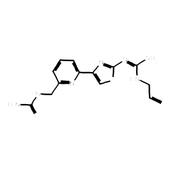 C=CCNC(N)=Nc1nc(-c2cccc(CNC(N)=O)n2)cs1